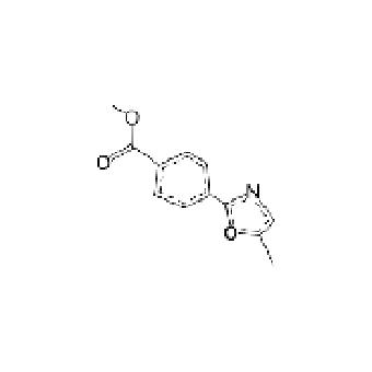 COC(=O)c1ccc(-c2ncc(C)o2)cc1